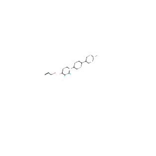 C=CCCOC1CCC(C2CCC(C3CCC(C)CC3)CC2)C(F)C1F